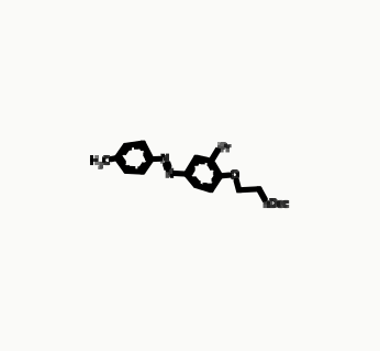 CCCCCCCCCCCCOc1ccc(/N=N/c2ccc(C)cc2)cc1C(C)C